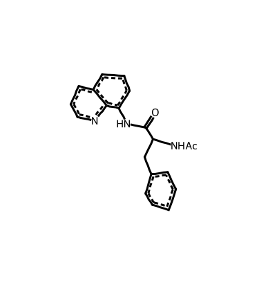 CC(=O)NC(Cc1ccccc1)C(=O)Nc1cccc2cccnc12